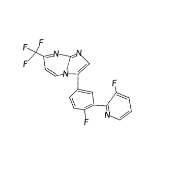 Fc1ccc(-c2cnc3nc(C(F)(F)F)ccn23)cc1-c1ncccc1F